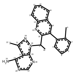 Cc1ccccc1-c1cc2ccccc2nc1C(C)n1nc(I)c2c(N)ncnc21